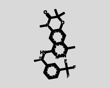 Cc1nnc(N[C@H](C)c2cccc(C(F)(F)F)c2)c2cc3c(cc12)OC(C)(C)C(=O)N3C